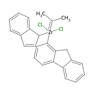 C[C](C)=[Zr]([Cl])([Cl])([c]1cccc2c1Cc1ccccc1-2)[CH]1C=Cc2ccccc21